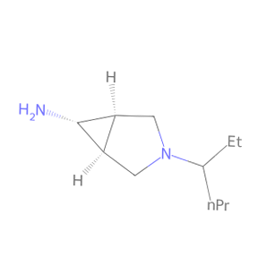 CCCC(CC)N1C[C@@H]2[C@@H](N)[C@@H]2C1